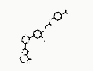 COc1cc(-c2nccc(-c3cc4n(n3)CCNC4=O)n2)ccc1OCC(=O)Nc1ccc(C(=O)O)cc1